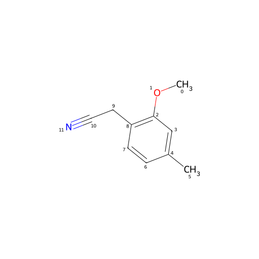 COc1cc(C)ccc1CC#N